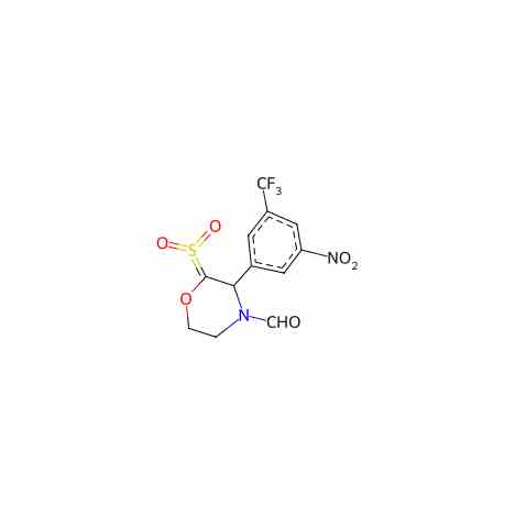 O=CN1CCOC(=S(=O)=O)C1c1cc([N+](=O)[O-])cc(C(F)(F)F)c1